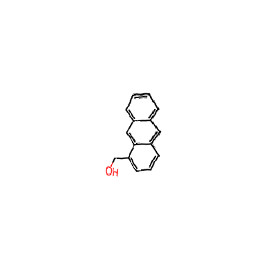 OCc1cccc2cc3ccccc3cc12